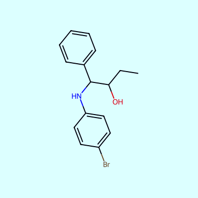 CCC(O)C(Nc1ccc(Br)cc1)c1ccccc1